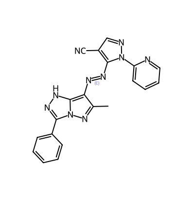 Cc1nn2c(-c3ccccc3)n[nH]c2c1/N=N/c1c(C#N)cnn1-c1ccccn1